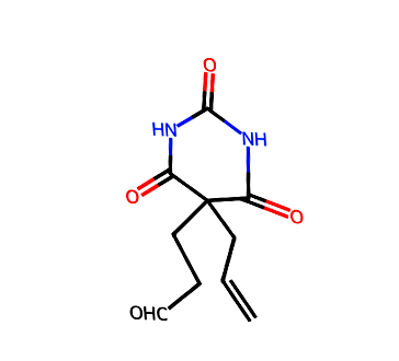 C=CCC1(CCC=O)C(=O)NC(=O)NC1=O